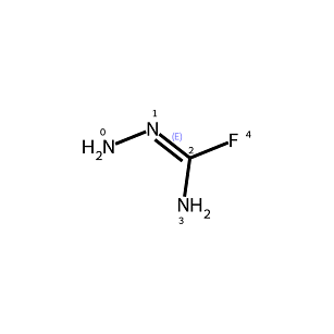 N/N=C(\N)F